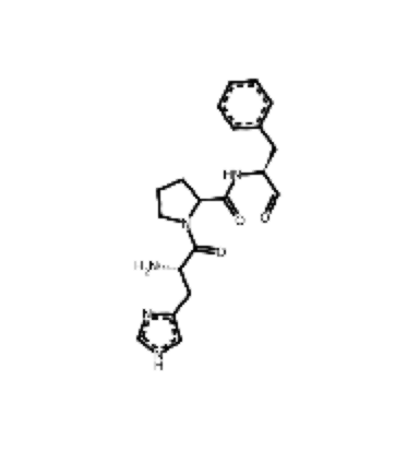 N[C@@H](Cc1c[nH]cn1)C(=O)N1CCC[C@H]1C(=O)N[C@H]([C]=O)Cc1ccccc1